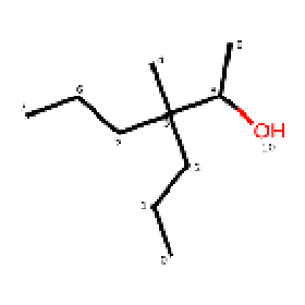 CCCC(C)(CCC)C(C)O